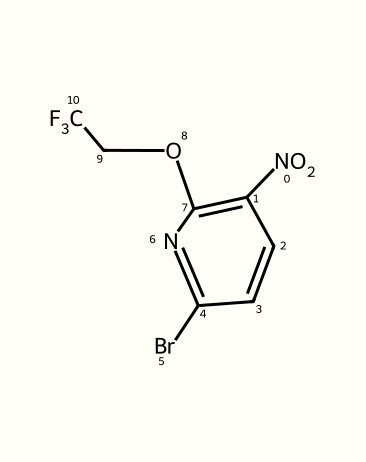 O=[N+]([O-])c1ccc(Br)nc1OCC(F)(F)F